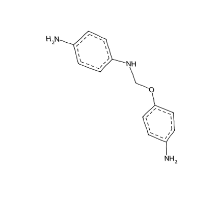 Nc1ccc(NCOc2ccc(N)cc2)cc1